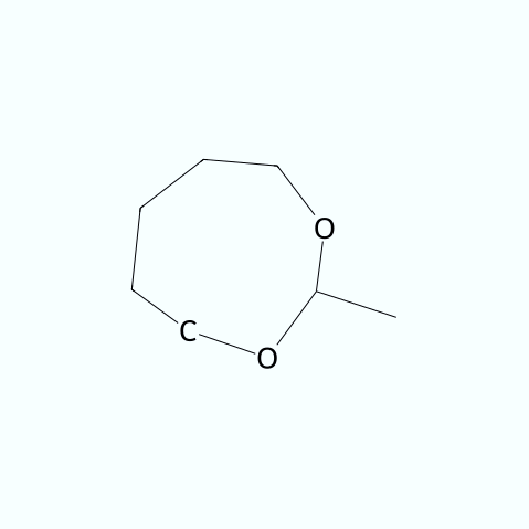 CC1OCCCCCO1